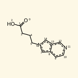 O=C(O)CCCn1cc2ccncc2c1